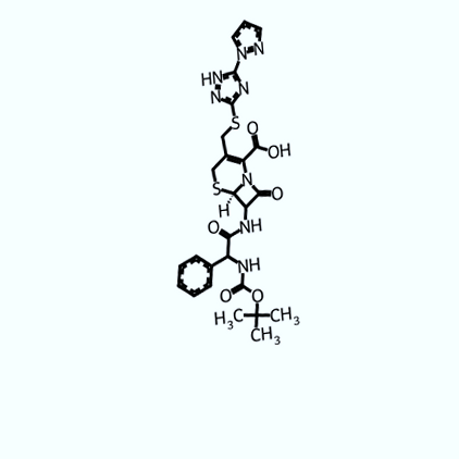 CC(C)(C)OC(=O)NC(C(=O)NC1C(=O)N2C(C(=O)O)=C(CSc3n[nH]c(-n4cccn4)n3)CS[C@H]12)c1ccccc1